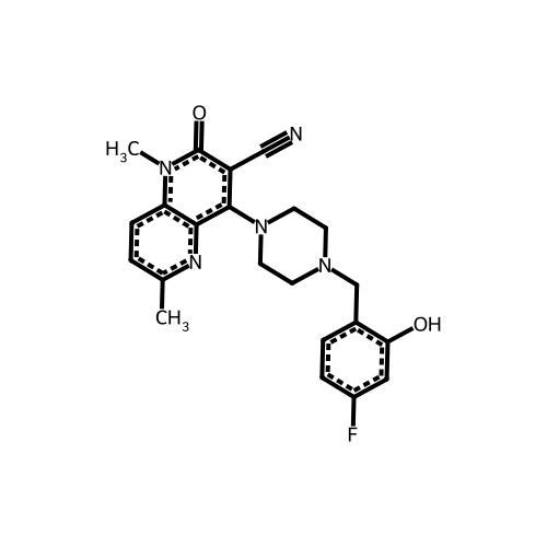 Cc1ccc2c(n1)c(N1CCN(Cc3ccc(F)cc3O)CC1)c(C#N)c(=O)n2C